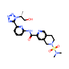 C[C@H](CO)n1nnnc1-c1cccc(NC(=O)c2cc3c(cn2)CCN(S(=O)(=O)N(C)C)C3)n1